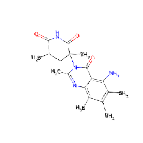 Bc1c(B)c(N)c2c(=O)n(C3(B)CC(B)C(=O)NC3=O)c(C)nc2c1B